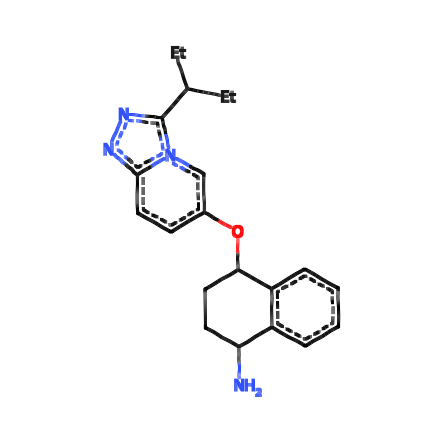 CCC(CC)c1nnc2ccc(OC3CCC(N)c4ccccc43)cn12